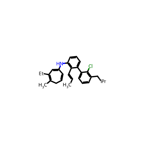 C/C=C/c1c(NC2=CC(CC)=C(C)CC=C2)cccc1-c1cccc(CC(C)C)c1Cl